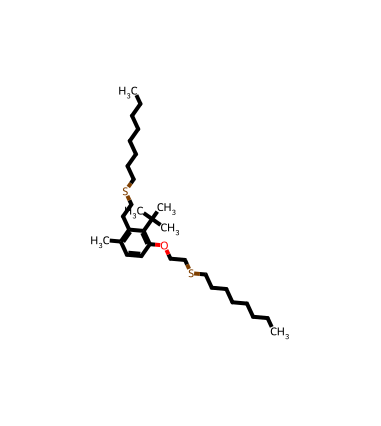 CCCCCCCCSCCOc1ccc(C)c(CCSCCCCCCCC)c1C(C)(C)C